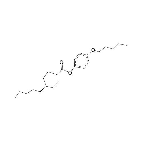 CCCCCOc1ccc(OC(=O)[C@H]2CC[C@H](CCCCC)CC2)cc1